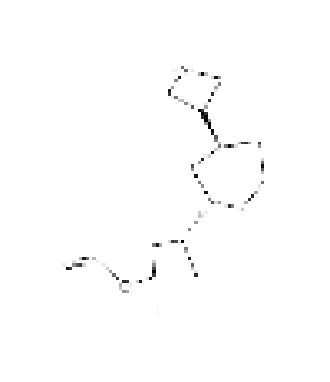 C[C@]1(OC=O)C[C@H](N2CCC[C@H](C3CNC3)C2)C1